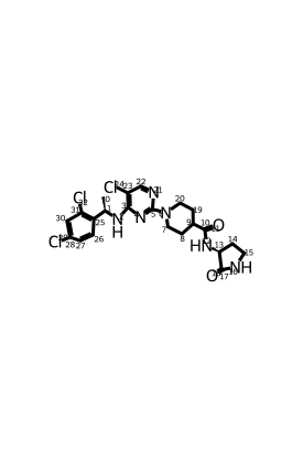 C[C@@H](Nc1nc(N2CCC(C(=O)N[C@H]3CCNC3=O)CC2)ncc1Cl)c1ccc(Cl)cc1Cl